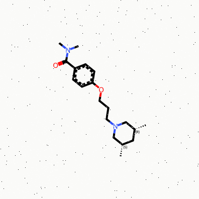 C[C@@H]1C[C@H](C)CN(CCCOc2ccc(C(=O)N(C)C)cc2)C1